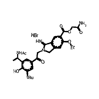 Br.CCOc1cc2c(cc1C(=O)OCC(N)=O)C(=N)N(CC(=O)c1cc(C(C)NC(C)=O)c(O)c(C(C)(C)C)c1)C2